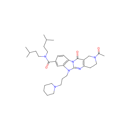 CC(=O)N1CCc2nc3n(CCCN4CCCCC4)c4cc(C(=O)N(CCC(C)C)CCC(C)C)ccc4n3c(=O)c2C1